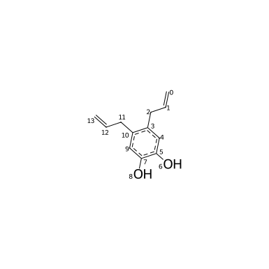 C=CCc1cc(O)c(O)cc1CC=C